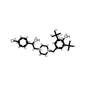 CC(C)(C)c1cc(CN2CCN(CC(O)c3ccc(Cl)cc3)CC2)cc(C(C)(C)C)c1O